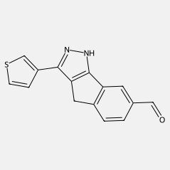 O=Cc1ccc2c(c1)-c1[nH]nc(-c3ccsc3)c1C2